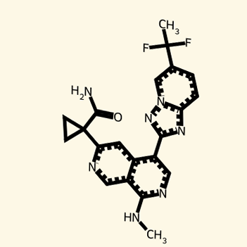 CNc1ncc(-c2nc3ccc(C(C)(F)F)cn3n2)c2cc(C3(C(N)=O)CC3)ncc12